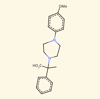 COc1ccc(N2CCN(C(C)(C(=O)O)c3ccccc3)CC2)cc1